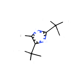 CCCCCC(C)(C)c1[nH]c(C(C)(C)CCC)nc1C(C)C